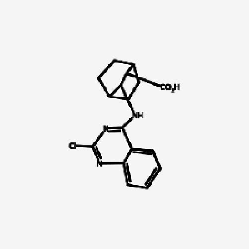 O=C(O)C1C2CCC(CC2)C1Nc1nc(Cl)nc2ccccc12